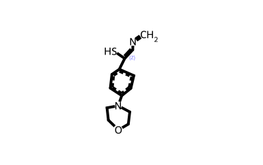 C=N/C=C(\S)c1ccc(N2CCOCC2)cc1